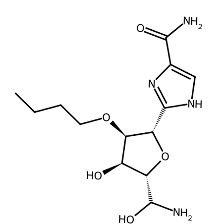 CCCCO[C@@H]1[C@H](O)[C@@H](C(N)O)O[C@H]1c1nc(C(N)=O)c[nH]1